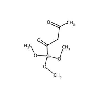 CO[Si](OC)(OC)C(=O)CC(C)=O